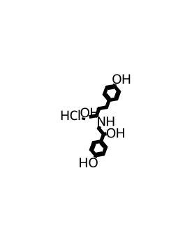 CC(CCc1ccc(O)cc1)NCC(O)c1ccc(O)cc1.CO.Cl